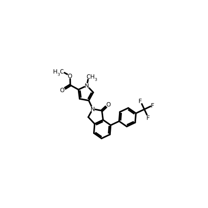 COC(=O)c1cc(N2Cc3cccc(-c4ccc(C(F)(F)F)cc4)c3C2=O)cn1C